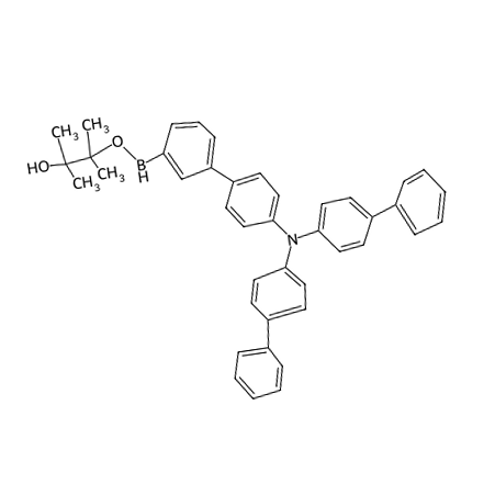 CC(C)(O)C(C)(C)OBc1cccc(-c2ccc(N(c3ccc(-c4ccccc4)cc3)c3ccc(-c4ccccc4)cc3)cc2)c1